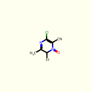 CCC1C(C)=NC(Cl)=C(C#N)[N+]1=O